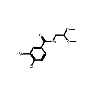 COC(CNC(=O)c1ccc(O)c(N)c1)OC